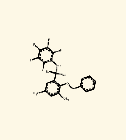 CCC(CC)(Pc1c(F)c(F)c(F)c(F)c1F)c1cc(C)cc(C)c1OCc1ccccc1